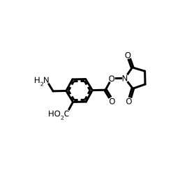 NCc1ccc(C(=O)ON2C(=O)CCC2=O)cc1C(=O)O